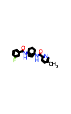 Cc1ccc(C(=O)NC23CCCC(NC(=O)c4cccc(F)c4)(CC2)C3)nc1